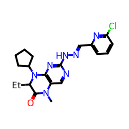 CCC1C(=O)N(C)c2cnc(N/N=C/c3cccc(Cl)n3)nc2N1C1CCCC1